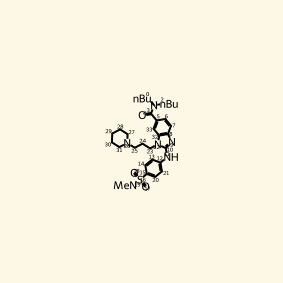 CCCCN(CCCC)C(=O)c1ccc2nc(Nc3ccc(S(=O)(=O)NC)cc3)n(CCCN3CCCCC3)c2c1